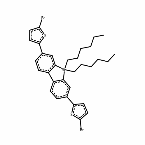 CCCCCC[Si]1(CCCCCC)c2cc(-c3ccc(Br)s3)ccc2-c2ccc(-c3ccc(Br)s3)cc21